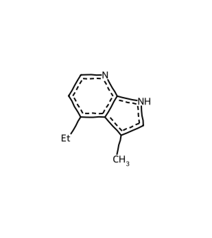 CCc1ccnc2[nH]cc(C)c12